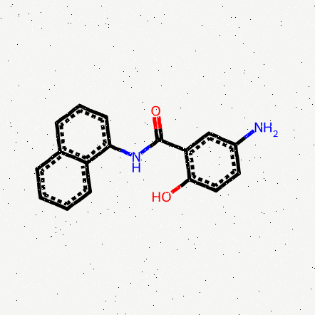 Nc1ccc(O)c(C(=O)Nc2cccc3ccccc23)c1